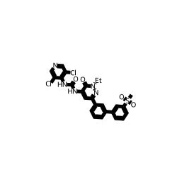 CCn1nc(-c2cccc(-c3cccc(S(C)(=O)=O)c3)c2)cc(NC(=O)Nc2c(Cl)cncc2Cl)c1=O